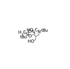 CC(C)(C)N(CC(CO)CO[Si](C)(C)C(C)(C)C)C(=O)O